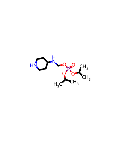 CC(C)OP(=O)(OCNC1CCNCC1)OC(C)C